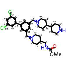 COC(=O)NCC1CCN(Cc2cc(CN3CCC(C4CCNCC4)CC3)cc(-c3cc(Cl)cc(Cl)c3)c2)CC1